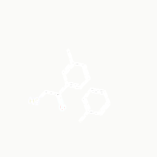 Cc1cccc(C(=O)CS)c1.Cc1ccccc1